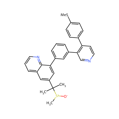 CSc1ccc(-c2ccncc2-c2cccc(-c3cc(C(C)(C)[S+](C)[O-])cc4cccnc34)c2)cc1